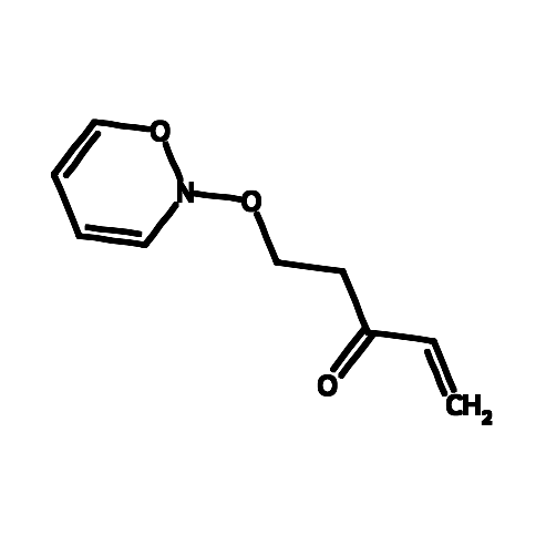 C=CC(=O)CCON1C=CC=CO1